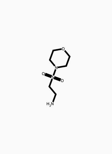 NCCS(=O)(=O)N1CCOCC1